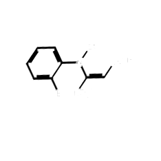 CCc1ccccc1N(CC)/C(=C\C(=O)O)C(=O)O